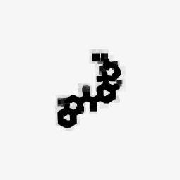 CC1(c2cc(NC(=O)C3CNc4ccccc4O3)ccc2F)CCSC(N)=N1